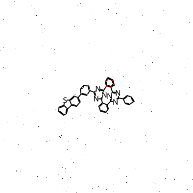 c1ccc(-c2nc(-c3ccccc3)nc(-c3ccccc3-c3nc(-c4ccccc4)nc(-c4cccc(-c5ccc6c(c5)sc5ccccc56)c4)n3)n2)cc1